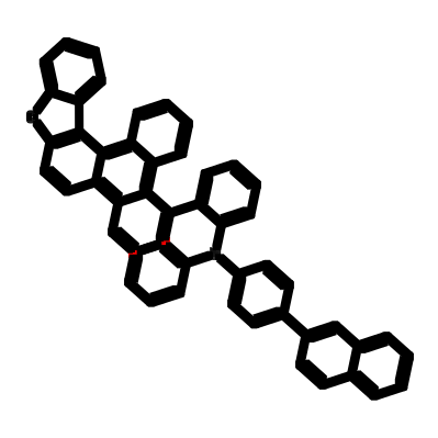 c1ccc(N(c2ccc(-c3ccc4ccccc4c3)cc2)c2ccccc2-c2cccc3c4ccc5oc6ccccc6c5c4c4ccccc4c23)cc1